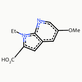 CCn1c(C(=O)O)cc2cc(OC)cnc21